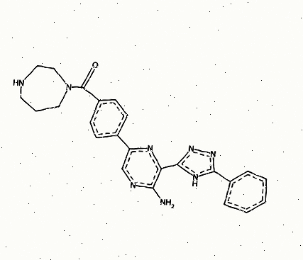 Nc1ncc(-c2ccc(C(=O)N3CCCNCC3)cc2)nc1-c1nnc(-c2ccccc2)[nH]1